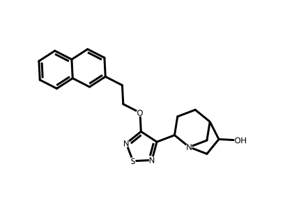 OC1CN2CC1CCC2c1nsnc1OCCc1ccc2ccccc2c1